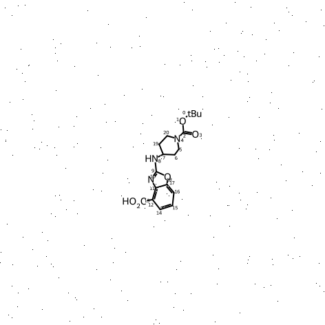 CC(C)(C)OC(=O)N1CCC(Nc2nc3c(C(=O)O)cccc3o2)CC1